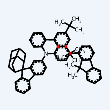 CC(C)(C)c1cc(-c2ccccc2N(c2ccc(-c3cccc4c3C(C)(C)c3ccccc3-4)cc2)c2ccc3c(c2)C2(c4ccccc4-3)C3CC4CC(C3)CC2C4)cc(C(C)(C)C)c1